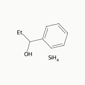 CCC(O)c1ccccc1.[SiH4]